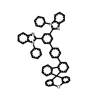 c1ccc(-n2c(-c3cc(-c4ccc(-c5cccc6c5-c5ccccc5C65c6ccccc6Oc6ccccc65)cc4)cc(-c4nc5ccccc5n4-c4ccccc4)c3)nc3ccccc32)cc1